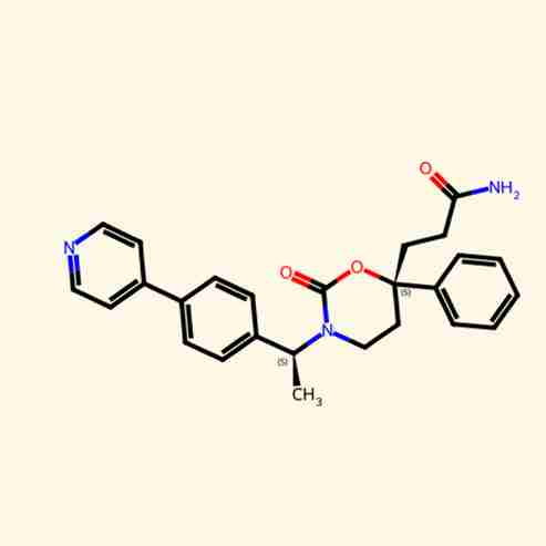 C[C@@H](c1ccc(-c2ccncc2)cc1)N1CC[C@@](CCC(N)=O)(c2ccccc2)OC1=O